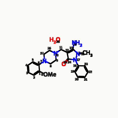 COc1ccccc1N1CCN(Cc2c(N)n(C)n(-c3ccccc3)c2=O)CC1.O